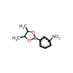 CC1OB(c2cccc([N+](=O)[O-])c2)OC1C